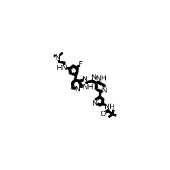 CN(C)CCNc1cc(F)cc(-c2ccnc3[nH]c(-c4n[nH]c5cnc(-c6cncc(NC(=O)C(C)(C)C)c6)cc45)nc23)c1